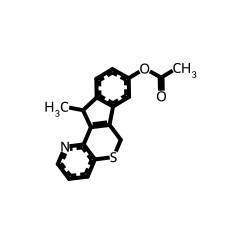 CC(=O)Oc1ccc2c(c1)C1=C(c3ncccc3SC1)C2C